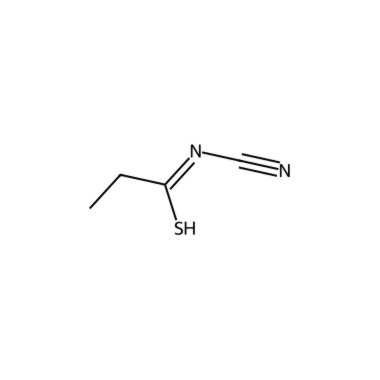 CCC(S)=NC#N